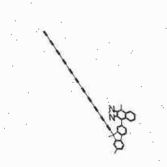 C#CC#CC#CC#CC#CC#CC#CC#CC#CC#CC#C[C@@]1(C)c2cc(C)ccc2-c2ccc(-c3c4c(c(C)c5ccccc35)=NCN=4)cc21